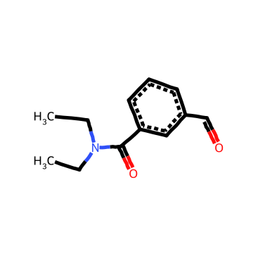 CCN(CC)C(=O)c1cccc(C=O)c1